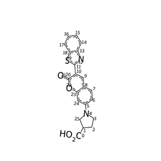 O=C(O)C1CCN(c2ccc3cc(-c4nc5ccccc5s4)c(=O)oc3c2)C1